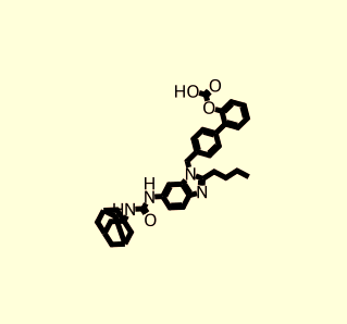 CCCCc1nc2ccc(NC(=O)NC34CC5CC(CC(C5)C3)C4)cc2n1Cc1ccc(-c2ccccc2OC(=O)O)cc1